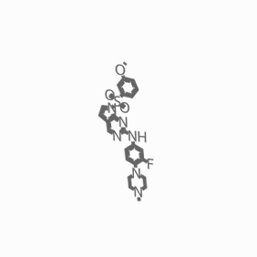 COc1cccc(S(=O)(=O)n2ccc3cnc(Nc4ccc(N5CCN(C)CC5)c(F)c4)nc32)c1